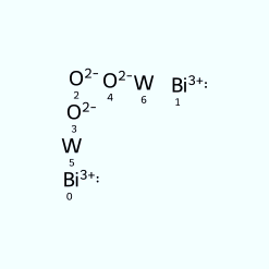 [Bi+3].[Bi+3].[O-2].[O-2].[O-2].[W].[W]